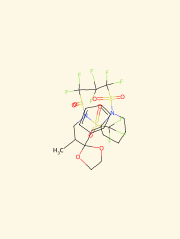 CC(CN(S(=O)(=O)C(F)(F)F)S(=O)(=O)C(F)(F)C(F)(F)C(F)(F)S(=O)(=O)N1CCCCC1)C1(c2ccccc2)OCCO1